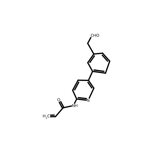 C=CC(=O)Nc1ccc(-c2cccc(CC=O)c2)cn1